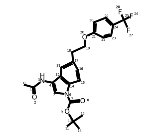 CC(=O)Nc1cn(C(=O)OC(C)(C)C)c2ccc(CCOc3ccc(C(F)(F)F)cc3)cc12